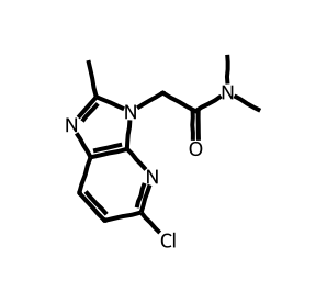 Cc1nc2ccc(Cl)nc2n1CC(=O)N(C)C